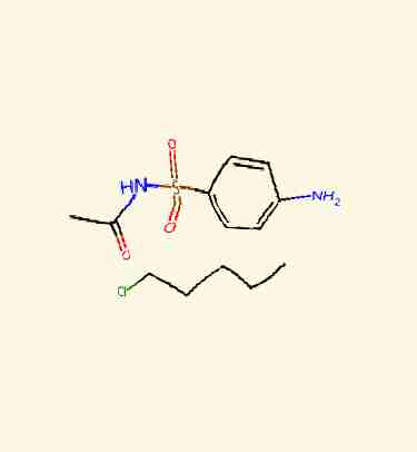 CC(=O)NS(=O)(=O)c1ccc(N)cc1.CCCCCCl